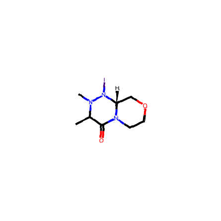 CC1C(=O)N2CCOC[C@H]2N(I)N1C